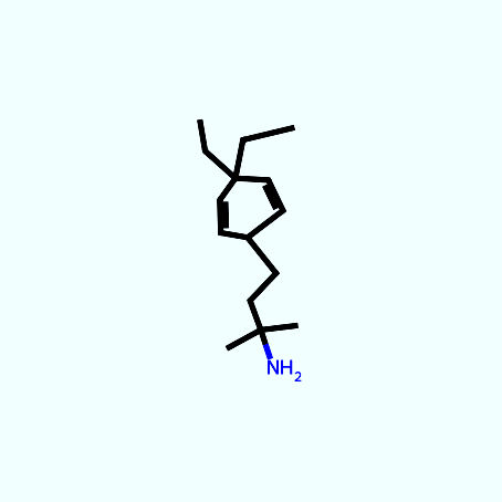 CCC1(CC)C=CC(CCC(C)(C)N)C=C1